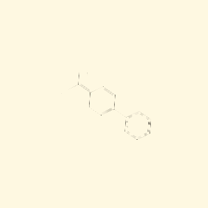 FC(F)(F)C(=C1C=CC(c2ccccc2)=CC1)C(F)(F)F